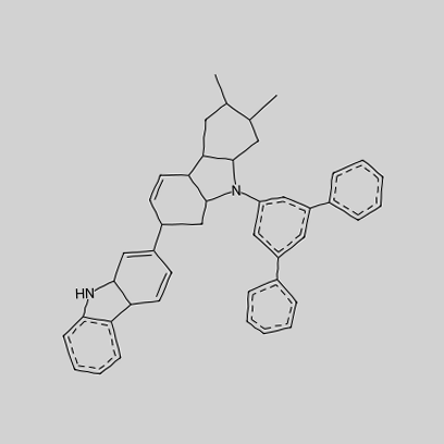 CC1CC2C3C=CC(C4=CC5Nc6ccccc6C5C=C4)CC3N(c3cc(-c4ccccc4)cc(-c4ccccc4)c3)C2CC1C